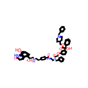 O=C(NCCN(Cc1ccccc1)C(=O)COc1cccc([C@](O)(C(=O)OCC2CCN(Cc3ccccc3)CC2)c2ccccc2)c1)c1ccc(CCNC[C@H](O)c2ccc(O)c3[nH]c(=O)ccc23)cc1